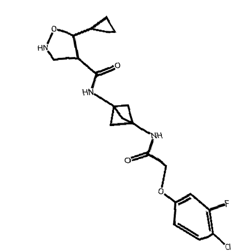 O=C(COc1ccc(Cl)c(F)c1)NC12CC(NC(=O)C3CNOC3C3CC3)(C1)C2